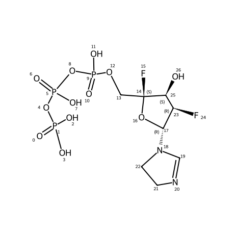 O=P(O)(O)OP(=O)(O)OP(=O)(O)OC[C@@]1(F)O[C@@H](N2C=NCC2)[C@H](F)[C@@H]1O